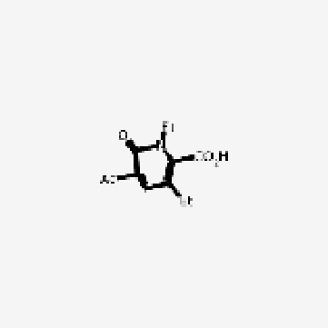 CCc1cc(C(C)=O)c(=O)n(CC)c1C(=O)O